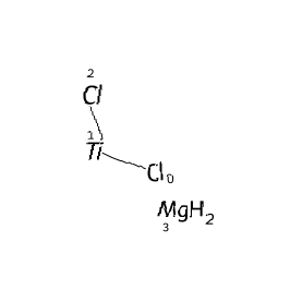 [Cl][Ti][Cl].[MgH2]